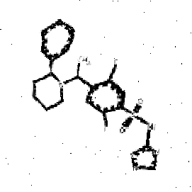 C[C@@H](c1cc(F)c(S(=O)(=O)Nc2ncns2)cc1F)N1CCCC[C@H]1c1ccccc1